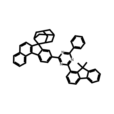 CC1(C)c2ccccc2-c2cccc(-c3nc(-c4ccccc4)nc(-c4ccc5c(c4)C4(c6ccc7ccccc7c6-5)C5CC6CC(C5)CC4C6)n3)c21